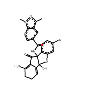 Cc1nn(C)c2ncc(C(=O)NC34C(=O)C5=C(N)CCC=C5C3(O)Oc3cc(C(C)C)ccc34)cc12